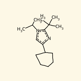 CC(C)n1cc(C2CCCCC2)nc1C(C)(C)C